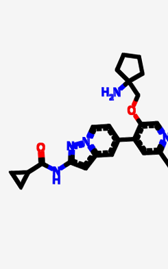 Cc1cc(-c2ccn3nc(NC(=O)C4CC4)cc3c2)c(OCC2(N)CCCC2)cn1